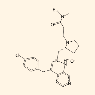 CCN(C)C(=O)CCN1CCC[C@@H]1CN1C=C(Cc2ccc(Cl)cc2)c2ccncc2[NH+]1[O-]